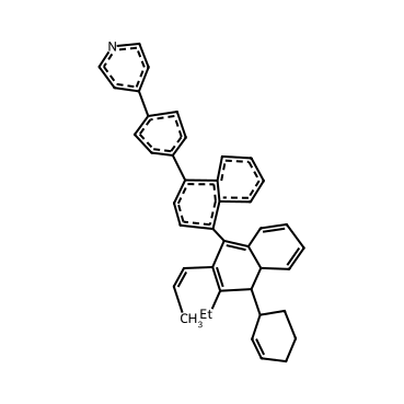 C/C=C\C1=C(CC)C(C2C=CCCC2)C2C=CC=CC2=C1c1ccc(-c2ccc(-c3ccncc3)cc2)c2ccccc12